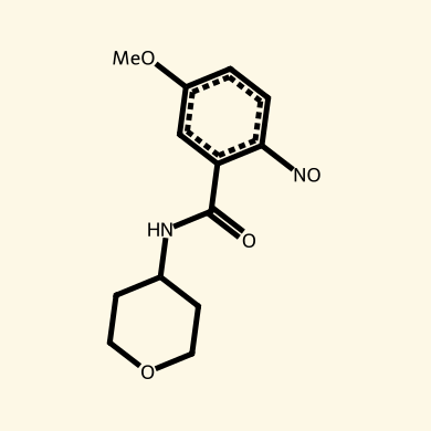 COc1ccc(N=O)c(C(=O)NC2CCOCC2)c1